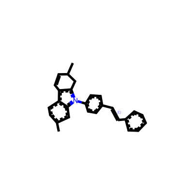 Cc1ccc2c3c(n(-c4ccc(/C=C/c5ccccc5)cc4)c2c1)CC(C)C=C3